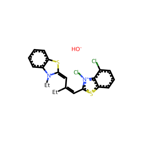 CCC(=Cc1sc2cccc(Cl)c2[n+]1Cl)C=C1Sc2ccccc2N1CC.[OH-]